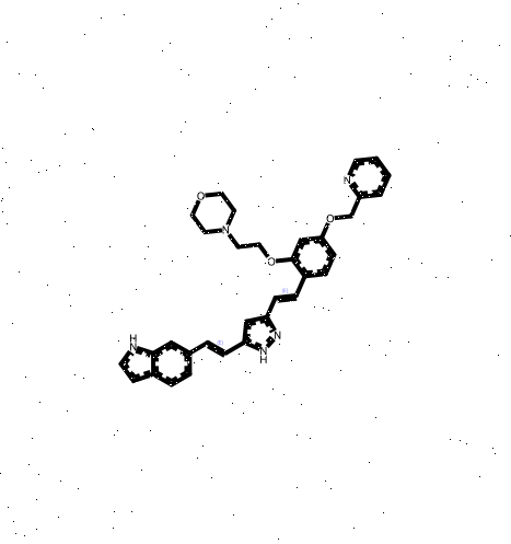 C(=C\c1cc(/C=C/c2ccc(OCc3ccccn3)cc2OCCN2CCOCC2)n[nH]1)/c1ccc2cc[nH]c2c1